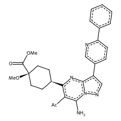 COC(=O)[C@]1(OC)CC[C@@H](c2nc3c(-c4ccc(-c5ccccc5)nc4)cnn3c(N)c2C(C)=O)CC1